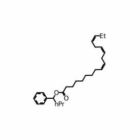 CC/C=C\C/C=C\C/C=C\CCCCCCCC(=O)OC(CCC)c1ccccc1